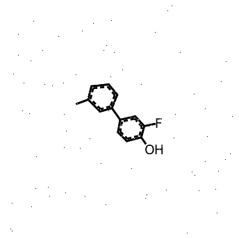 Cc1cccc(-c2ccc(O)c(F)c2)c1